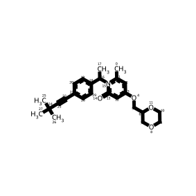 Cc1cc(OCC2COCCO2)cc(=O)n1C(C)c1ccc(C#CC(C)(C)C)cc1